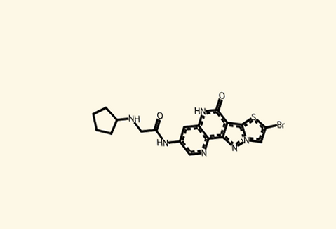 O=C(CNC1CCCC1)Nc1cnc2c(c1)[nH]c(=O)c1c2nn2cc(Br)sc12